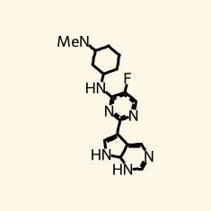 CNC1CCCC(Nc2nc(C3=CNC4NC=NC=C34)ncc2F)C1